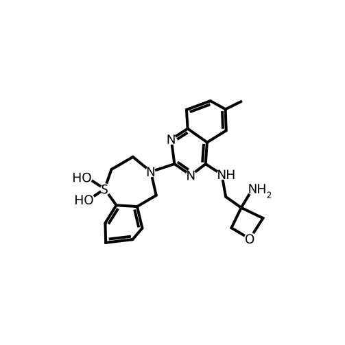 Cc1ccc2nc(N3CCS(O)(O)c4ccccc4C3)nc(NCC3(N)COC3)c2c1